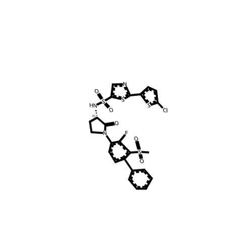 CS(=O)(=O)c1c(-c2ccccc2)ccc(N2CC[C@H](NS(=O)(=O)c3cnc(-c4ccc(Cl)s4)s3)C2=O)c1F